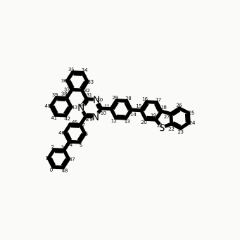 c1ccc(-c2ccc(-c3nc(-c4ccc(-c5ccc6c(c5)sc5ccccc56)cc4)nc(-c4ccccc4-c4ccccc4)n3)cc2)cc1